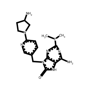 CP(C)c1nc(N)c2[nH]c(=O)n(Cc3ccc(N4CCC(N)C4)nc3)c2n1